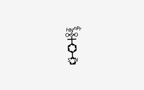 CCCNS(=O)(=O)C(C)(C)c1ccc(-c2nccs2)cc1